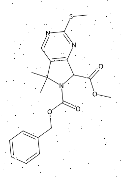 COC(=O)C1c2nc(SC)ncc2C(C)(C)N1C(=O)OCc1ccccc1